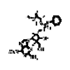 CNc1nc(N)nc2c1ncn2[C@@H]1O[C@H](CO[P@](=O)(N[C@@H](C)C(=O)OC(C)C)Oc2ccccc2)[C@@H](O)[C@]1(F)CO